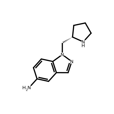 Nc1ccc2c(cnn2C[C@@H]2CCCN2)c1